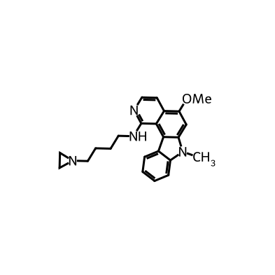 COc1cc2c(c3ccccc3n2C)c2c(NCCCCN3CC3)nccc12